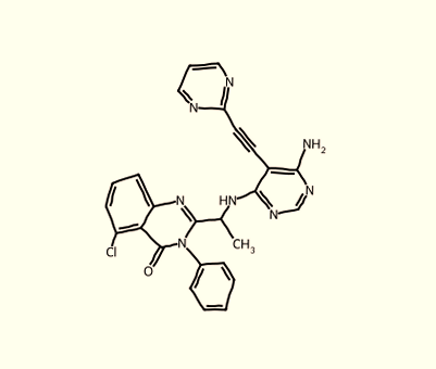 CC(Nc1ncnc(N)c1C#Cc1ncccn1)c1nc2cccc(Cl)c2c(=O)n1-c1ccccc1